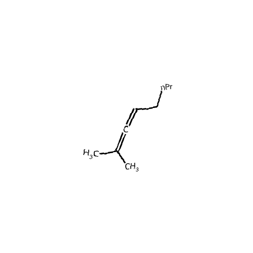 CCCCC=C=C(C)C